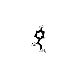 CC(=O)[C@H](CN)c1ccc(Cl)cc1